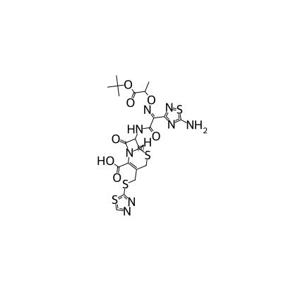 CC(ON=C(C(=O)NC1C(=O)N2C(C(=O)O)=C(CSc3nncs3)CS[C@@H]12)c1nsc(N)n1)C(=O)OC(C)(C)C